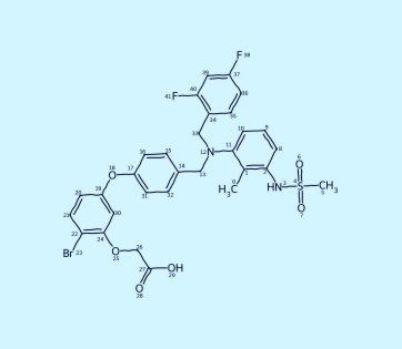 Cc1c(NS(C)(=O)=O)cccc1N(Cc1ccc(Oc2ccc(Br)c(OCC(=O)O)c2)cc1)Cc1ccc(F)cc1F